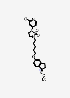 CCO/N=C1\CCc2cc(OCCCCCN3CCN(c4ccnc(Cl)c4)S3(=O)=O)ccc21